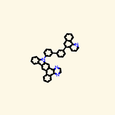 c1cc(-c2cccc(-n3c4ccccc4c4cc5c6ccccc6c6nccnc6c5cc43)c2)cc(-c2cc3ccccc3c3ncccc23)c1